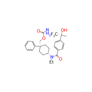 CCN(C(=O)c1ccc([C@](C)(O)C(F)(F)F)cc1)[C@H]1CC[C@](COC(N)=O)(c2ccccc2)CC1